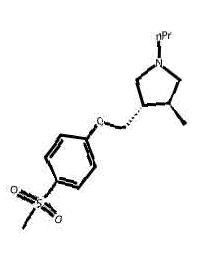 CCCN1C[C@@H](COc2ccc(S(C)(=O)=O)cc2)[C@H](C)C1